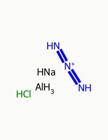 Cl.N=[N+]=N.[AlH3].[NaH]